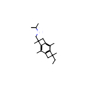 CCC1(C)Cc2c(C)c3c(c(C)c21)CC3(C)CNC(C)C